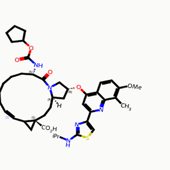 COc1ccc2c(O[C@@H]3C[C@H]4CC[C@]5(C(=O)O)CC5/C=C\CCCCC[C@H](NC(=O)OC5CCCC5)C(=O)N4C3)cc(-c3csc(NC(C)C)n3)nc2c1C